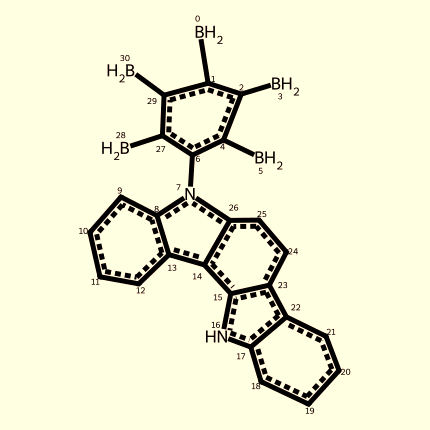 Bc1c(B)c(B)c(-n2c3ccccc3c3c4[nH]c5ccccc5c4ccc32)c(B)c1B